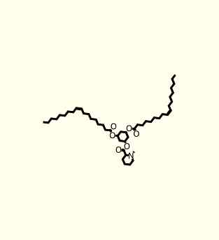 CCCCCCCC/C=C\CCCCCCCC(=O)OC1CC(OC(=O)CCCCCCC/C=C\CCCCCCCC)CC(OC(=O)C2CCCCN2C)C1